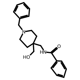 O=C(NCC1(CO)CCN(Cc2ccccc2)CC1)c1ccccc1